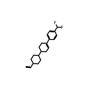 C=CC1CCC(C2CC=C(c3ccc(C(F)F)cc3)CC2)CC1